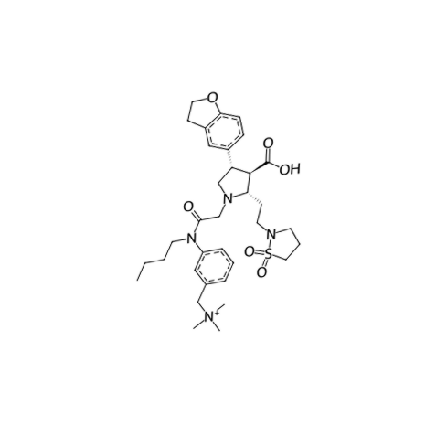 CCCCN(C(=O)CN1C[C@H](c2ccc3c(c2)CCO3)[C@@H](C(=O)O)[C@@H]1CCN1CCCS1(=O)=O)c1cccc(C[N+](C)(C)C)c1